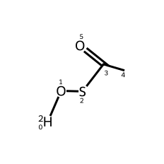 [2H]OSC(C)=O